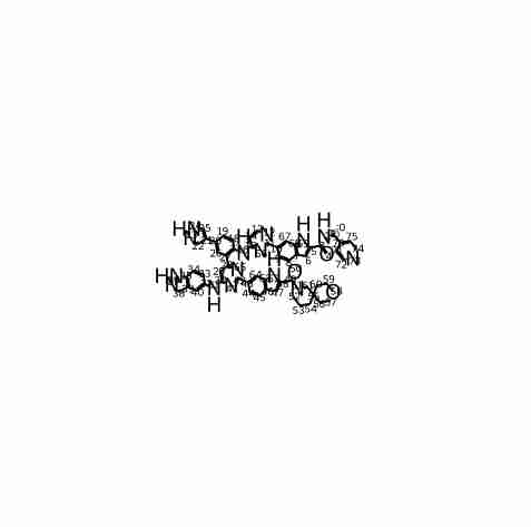 C[C@@H](NC(=O)c1cc2ccc(-c3nccc(Nc4ccc(-c5cn[nH]c5)cc4-c4cc(Nc5ccc6[nH]ncc6c5)nc(-c5ccc6cc(C(=O)N7CCCC8(CCOCC8)C7)[nH]c6c5)n4)n3)cc2[nH]1)c1ccncc1